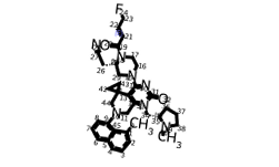 Cc1cccc2cccc(N3Cc4c(c(N5CCN(C(=O)/C=C/CF)[C@@H](CC#N)C5)nc(=O)n4C[C@@H]4CCCN4C)C4(CC4)C3)c12